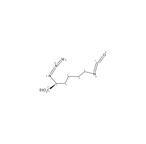 CCOC(=O)[C@H](CCCCN=C=O)N=[N+]=[N-]